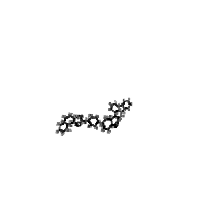 c1ccc2c(c1)-c1cccc3c1c-2cc1oc2ccc(-c4ccc(-c5nc6ccc7ccccc7c6o5)cc4)cc2c13